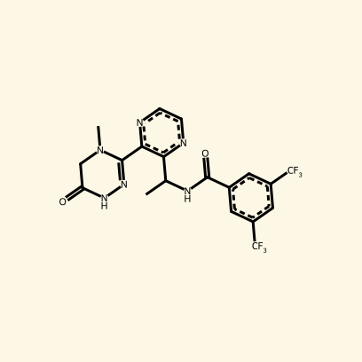 CC(NC(=O)c1cc(C(F)(F)F)cc(C(F)(F)F)c1)c1nccnc1C1=NNC(=O)CN1C